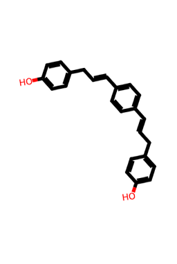 Oc1ccc(CC=Cc2ccc(C=CCc3ccc(O)cc3)cc2)cc1